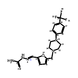 NC(=S)N/N=C/c1ccc(CN2CCN(c3ccc(C(F)(F)F)cc3)CC2)o1